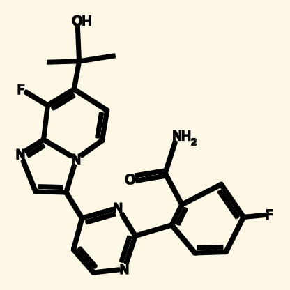 CC(C)(O)c1ccn2c(-c3ccnc(-c4ccc(F)cc4C(N)=O)n3)cnc2c1F